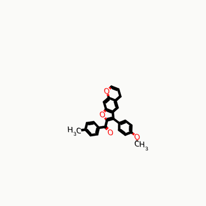 COc1ccc(-c2c(C(=O)c3ccc(C)cc3)oc3cc4c(cc23)CC=CO4)cc1